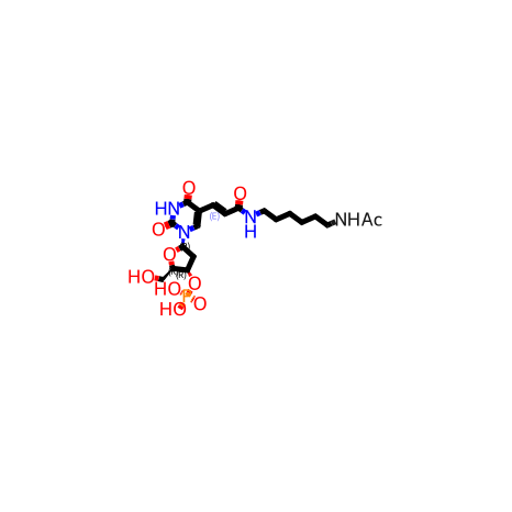 CC(=O)NCCCCCCNC(=O)/C=C/c1cn([C@H]2C[C@@H](OP(=O)(O)O)[C@@H](CO)O2)c(=O)[nH]c1=O